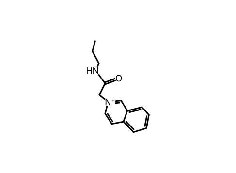 CCCNC(=O)C[n+]1ccc2ccccc2c1